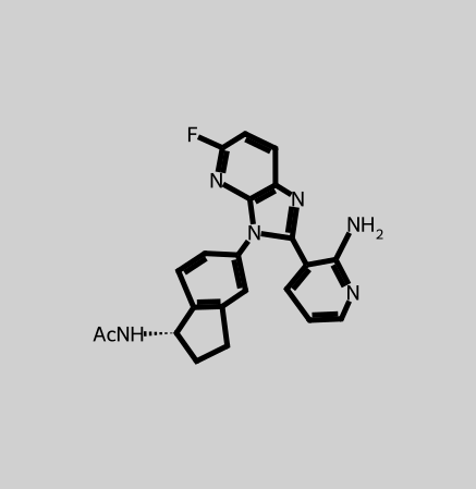 CC(=O)N[C@H]1CCc2cc(-n3c(-c4cccnc4N)nc4ccc(F)nc43)ccc21